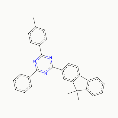 Cc1ccc(-c2nc(-c3ccccc3)nc(-c3ccc4c(c3)C(C)(C)c3ccccc3-4)n2)cc1